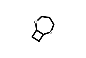 C1COC2CCC2SC1